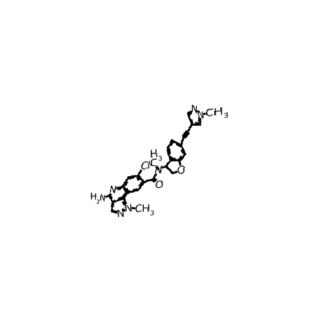 CN(C(=O)c1cc2c(cc1Cl)nc(N)c1cnn(C)c12)C1COc2cc(C#Cc3cnn(C)c3)ccc21